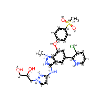 Cn1nc(Nc2ccn(CC(O)CO)n2)c2cc(-c3ncccc3Cl)cc(Oc3ccc(S(C)(=O)=O)cc3)c21